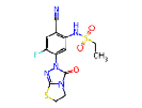 CCS(=O)(=O)Nc1cc(-n2nc3n(c2=O)CCS3)c(F)cc1C#N